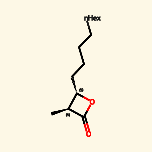 CCCCCCCCCC[C@@H]1OC(=O)[C@H]1C